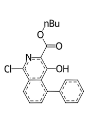 CCCCOC(=O)c1nc(Cl)c2cccc(-c3ccccc3)c2c1O